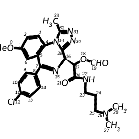 COc1ccc2c(c1)C(c1ccc(Cl)cc1)=N[C@H](C(OC=O)C(=O)NCCCN(C)C)c1nnc(C)n1-2